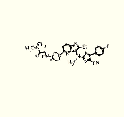 CCc1nc2ccc(N3CC[C@@H](NCC(=O)N(C)C)C3)nn2c1N(C)c1nc(-c2ccc(F)cc2)c(C#N)s1